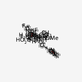 COC(=O)NC(C(=O)NC(Cc1ccc(C#Cc2ccc(N3CC4CCC(C3)N4C3COC3)nc2)cc1)C(O)CN(Cc1c(F)cc(-c2ccc(F)cn2)cc1F)NC(=O)C(NC(=O)O)C(C)(C)C(F)(F)F)C(C)(C)C(F)(F)F